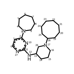 c1cc(N2CCCCCC2)nc(NC2CCCN(C3CCCCCCC3)C2)n1